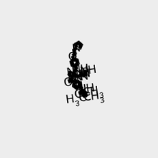 CC(C)(C)C(=O)Nc1ccc(C(=O)N2CN=C(Nc3ccc(OCCN4CCCC4)cc3)N2Nc2c[nH]nn2)cc1